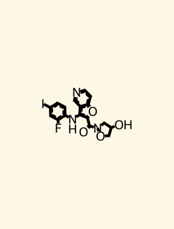 O=C(c1oc2ccncc2c1Nc1ccc(I)cc1F)N1CC(O)CO1